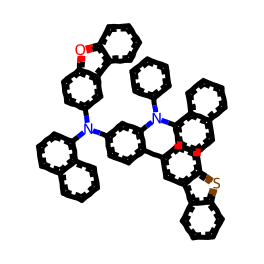 c1ccc(N(c2cc(N(c3ccc4oc5ccccc5c4c3)c3cccc4ccccc34)ccc2-c2ccc3sc4ccccc4c3c2)c2cccc3ccccc23)cc1